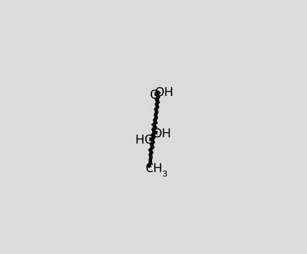 CCCCCCCCCCCC(O)CCC(O)CCCCCCCCCCCCCCC(=O)O